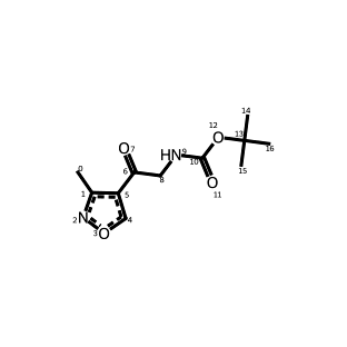 Cc1nocc1C(=O)CNC(=O)OC(C)(C)C